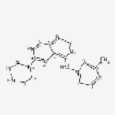 Cc1cccc(Nc2ncnc3cnc(N4CCNCC4)nc23)c1